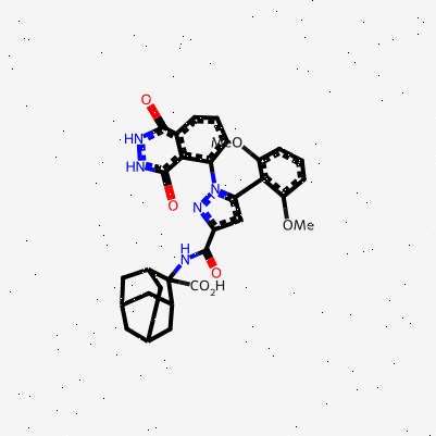 COc1cccc(OC)c1-c1cc(C(=O)NC2(C(=O)O)C3CC4CC(C3)CC2C4)nn1-c1cccc2c(=O)[nH][nH]c(=O)c12